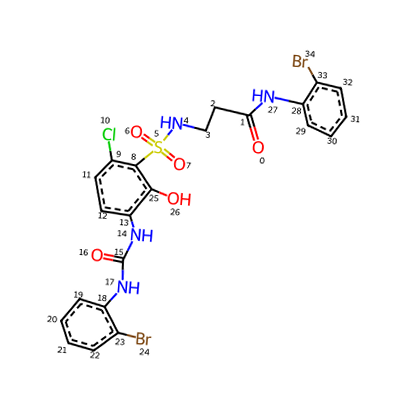 O=C(CCNS(=O)(=O)c1c(Cl)ccc(NC(=O)Nc2ccccc2Br)c1O)Nc1ccccc1Br